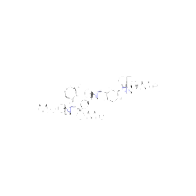 CO/N=C(/c1cccc(/C(C)=N/OCc2c(C)cccc2/C(=N\OC)C(=O)OC)c1)C(F)(F)F